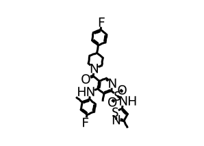 Cc1cc(NS(=O)(=O)c2ncc(C(=O)N3CCC(c4ccc(F)cc4)CC3)c(Nc3ccc(F)cc3C)c2C)sn1